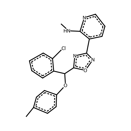 CNc1ncccc1-c1noc(C(Oc2ccc(C)cc2)c2ccccc2Cl)n1